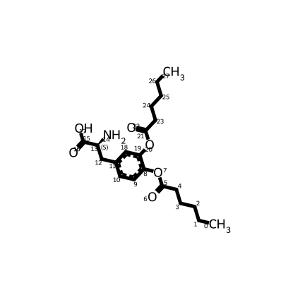 CCCCCC(=O)Oc1ccc(C[C@H](N)C(=O)O)cc1OC(=O)CCCCC